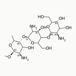 CO[C@H]1OC(C)[C@H](O[C@@H]2OC(CO)C(O[C@H]3OC(CO)[C@H](O)C(O)[C@H]3N)[C@H](O)C2N)C(O)[C@H]1N